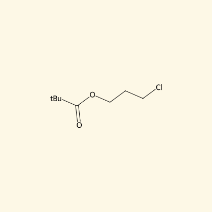 CC(C)(C)C(=O)OCCCCl